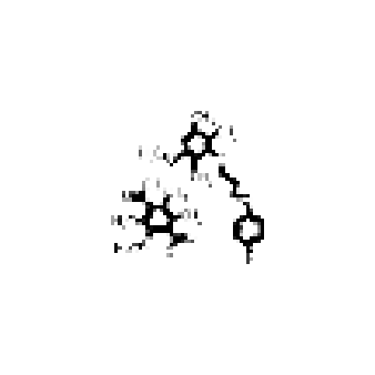 COc1c(C)c(C(=O)O)c(C)c(C)c1C(=O)O.COc1cc(C)c(C)c(OCCCOc2ccc(F)cc2)c1C